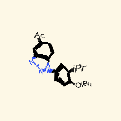 CC(=O)c1ccc2c(c1)nnn2-c1ccc(OCC(C)C)c(C(C)C)c1